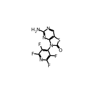 Nc1ncc2sc(=O)n(-c3c(F)c(F)nc(F)c3F)c2n1